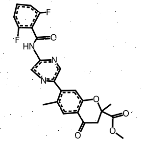 COC(=O)C1(C)CC(=O)c2cc(C)c(-c3cnc(NC(=O)c4c(F)cccc4F)cn3)cc2O1